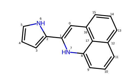 C1=C(c2ccc[nH]2)Nc2cccc3cccc1c23